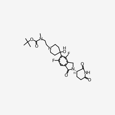 CN(CCN1CCC(O)(c2c(F)cc3c(c2F)CN([C@H]2CCC(=O)NC2=O)C3=O)CC1)C(=O)OC(C)(C)C